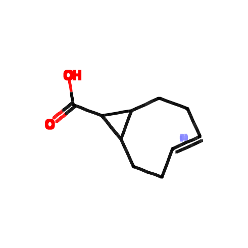 O=C(O)C1C2CC/C=C/CCC21